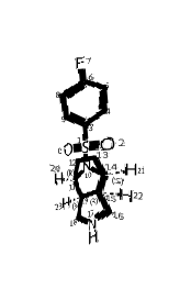 O=S(=O)(c1ccc(F)cc1)N1[C@@H]2CC[C@H]1[C@H]1CNC[C@H]12